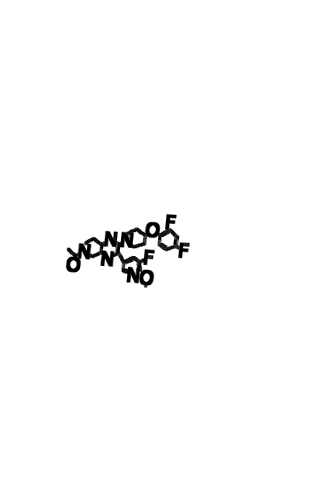 COc1ncc(-c2nc3c(nc2N2CCC(Oc4ccc(F)cc4F)CC2)CCN(C(C)=O)C3)cc1F